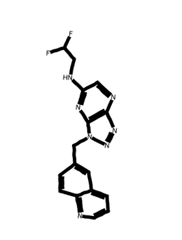 FC(F)CNc1cnc2nnn(Cc3ccc4ncccc4c3)c2n1